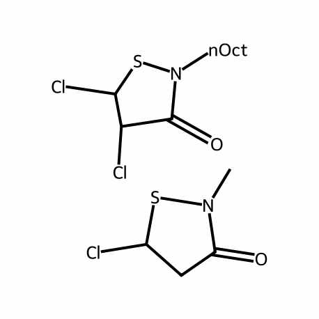 CCCCCCCCN1SC(Cl)C(Cl)C1=O.CN1SC(Cl)CC1=O